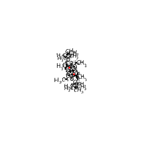 CCOP(=O)(OCC)C1(C2(P(=O)(OCC)OCC)SCC(CO[Si](C)(C)C(C)(C)C)S2)SCC(CO[Si](C)(C)C(C)(C)C)S1